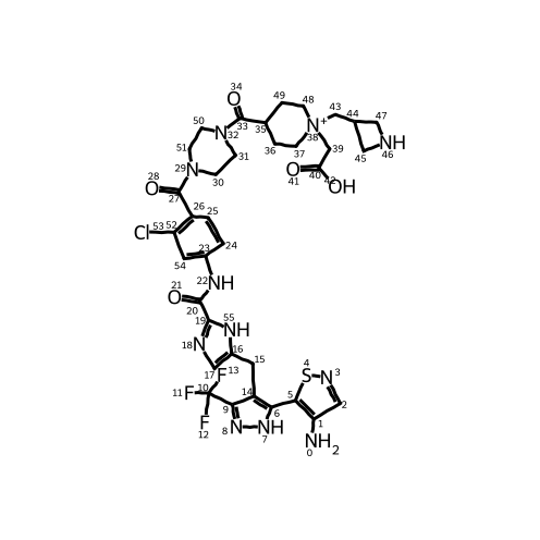 Nc1cnsc1-c1[nH]nc(C(F)(F)F)c1Cc1cnc(C(=O)Nc2ccc(C(=O)N3CCN(C(=O)C4CC[N+](CC(=O)O)(CC5CNC5)CC4)CC3)c(Cl)c2)[nH]1